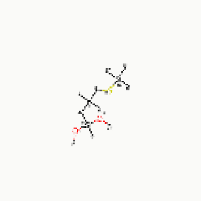 CO[Si](C)(CC(C)(C)CS[Si](C)(C)C)OC